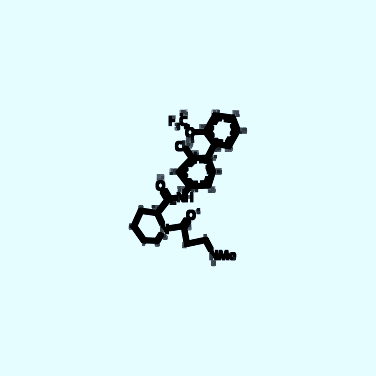 CNCCC(=O)N1CCCCC1C(=O)Nc1ccc(-c2ccccc2OC(F)(F)F)c(Cl)c1